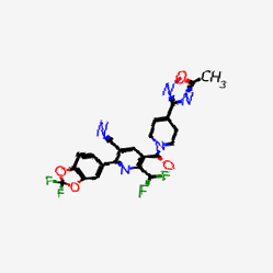 Cc1nc(C2CCN(C(=O)c3cc(C#N)c(-c4ccc5c(c4)OC(F)(F)O5)nc3C(F)F)CC2)no1